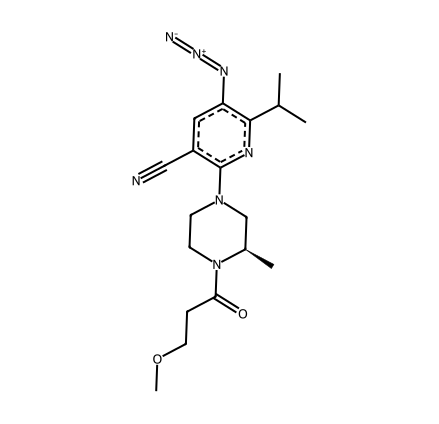 COCCC(=O)N1CCN(c2nc(C(C)C)c(N=[N+]=[N-])cc2C#N)C[C@H]1C